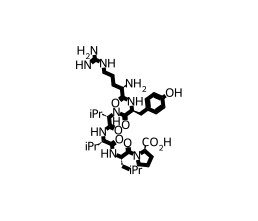 CC(C)C[C@H](NC(=O)[C@@H](NC(=O)[C@@H](NC(=O)[C@H](Cc1ccc(O)cc1)NC(=O)[C@@H](N)CCCNC(=N)N)C(C)C)C(C)C)C(=O)N1CCC[C@H]1C(=O)O